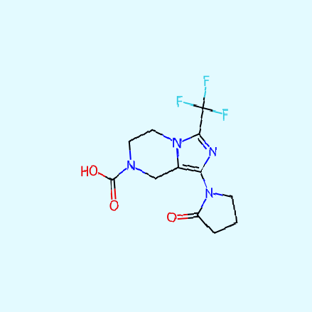 O=C(O)N1CCn2c(C(F)(F)F)nc(N3CCCC3=O)c2C1